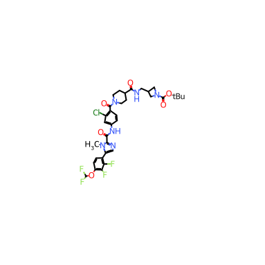 Cn1c(-c2ccc(OC(F)F)c(F)c2F)cnc1C(=O)Nc1ccc(C(=O)N2CCC(C(=O)NCC3CN(C(=O)OC(C)(C)C)C3)CC2)c(Cl)c1